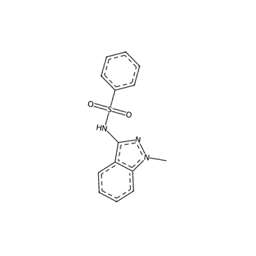 Cn1nc(NS(=O)(=O)c2ccccc2)c2ccccc21